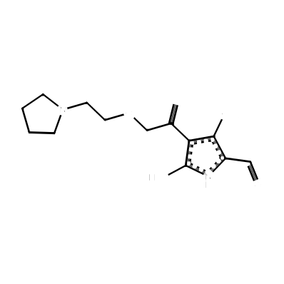 Cc1[nH]c(C=O)c(C)c1C(=O)COCCN1CCCC1